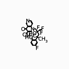 CC(C)(CC(O)(Cn1cc(Cl)c(=O)c2cnccc21)C(F)(F)F)c1cc(F)ccc1O